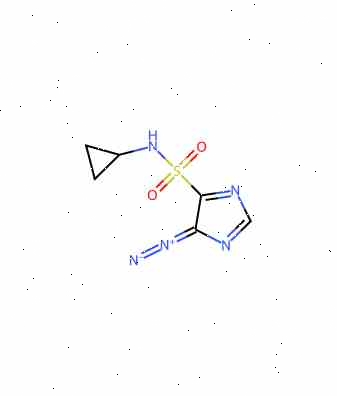 [N-]=[N+]=C1N=CN=C1S(=O)(=O)NC1CC1